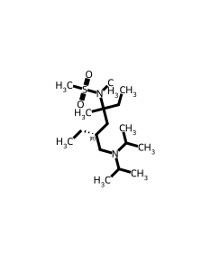 CC[C@@H](CN(C(C)C)C(C)C)CC(C)(CC)N(C)S(C)(=O)=O